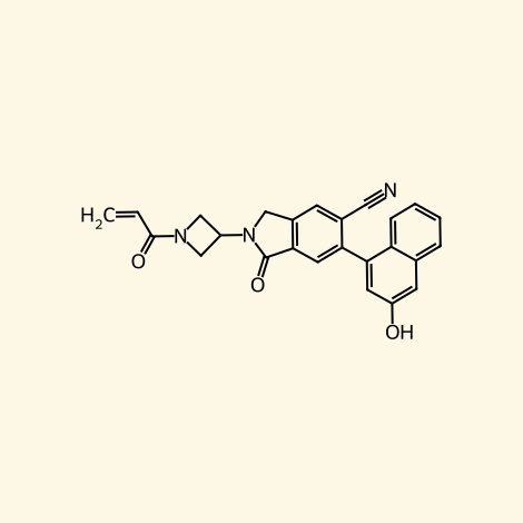 C=CC(=O)N1CC(N2Cc3cc(C#N)c(-c4cc(O)cc5ccccc45)cc3C2=O)C1